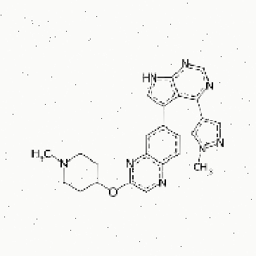 CN1CCC(Oc2cnc3ccc(-c4c[nH]c5ncnc(-c6cnn(C)c6)c45)cc3n2)CC1